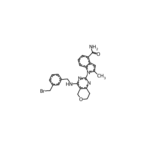 Cc1cc2c(C(N)=O)cccc2n1-c1nc2c(c(NCc3cccc(CBr)c3)n1)COCC2